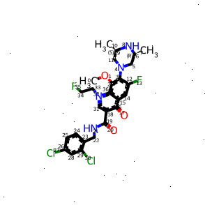 COc1c(N2C[C@@H](C)N[C@@H](C)C2)c(F)cc2c(=O)c(C(=O)NCc3ccc(Cl)cc3Cl)cn(CCF)c12